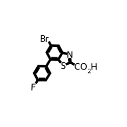 O=C(O)c1nc2cc(Br)cc(-c3ccc(F)cc3)c2s1